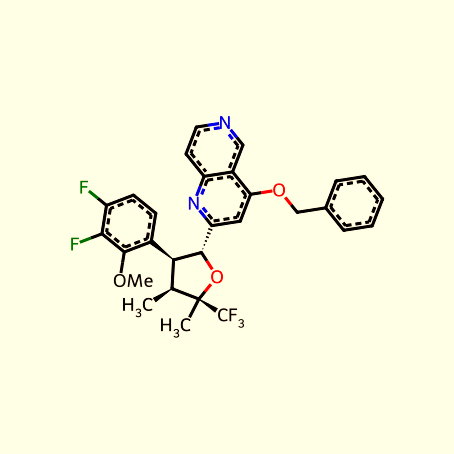 COc1c([C@H]2[C@H](c3cc(OCc4ccccc4)c4cnccc4n3)O[C@@](C)(C(F)(F)F)[C@H]2C)ccc(F)c1F